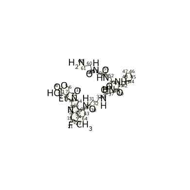 CC[C@@]1(O)C(=O)OCc2c1cc1n(c2=O)Cc2c-1nc1cc(F)c(C)c3c1c2[C@@H](NC(=O)CCCNC(=O)CNC(=O)C(Cc1ccccc1)NC(=O)CNC(=O)CNC(=O)CCN)CC3